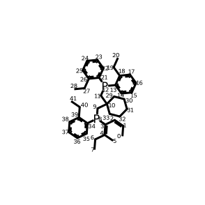 C/C=C\C(=C(/C)CC)P(CC1(CP(c2ccccc2CC)c2ccccc2CC)CCCCC1)c1ccccc1CC